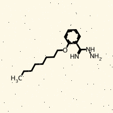 CCCCCCCCOc1ccccc1C(=N)NN